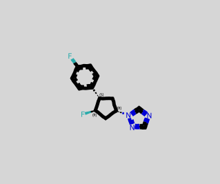 Fc1ccc([C@@H]2C[C@H](n3cncn3)[CH][C@H]2F)cc1